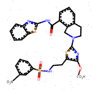 O=C(O)Oc1nc(N2CCc3cccc(C(=O)Nc4nc5ccccc5s4)c3C2)sc1CCNS(=O)(=O)c1cccc([N+](=O)[O-])c1